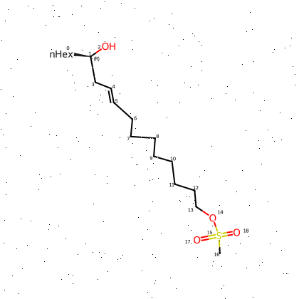 CCCCCC[C@@H](O)CC=CCCCCCCCCOS(C)(=O)=O